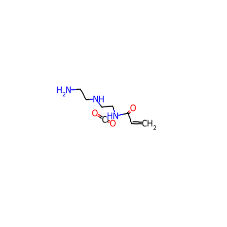 C=CC(=O)NCCNCCN.O=C=O